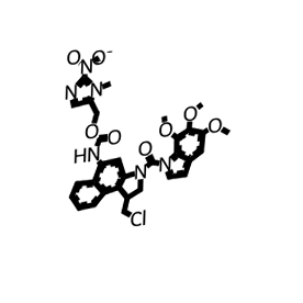 COc1cc2ccn(C(=O)N3CC(CCl)c4c3cc(NC(=O)OCc3cnc([N+](=O)[O-])n3C)c3ccccc43)c2c(OC)c1OC